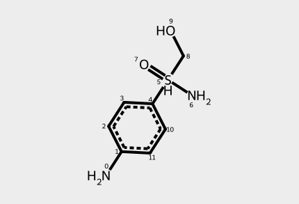 Nc1ccc([SH](N)(=O)CO)cc1